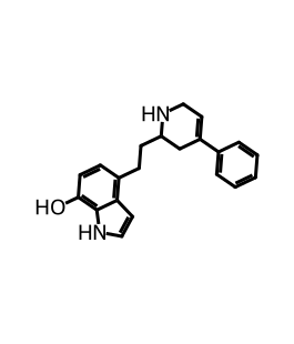 Oc1ccc(CCC2CC(c3ccccc3)=CCN2)c2cc[nH]c12